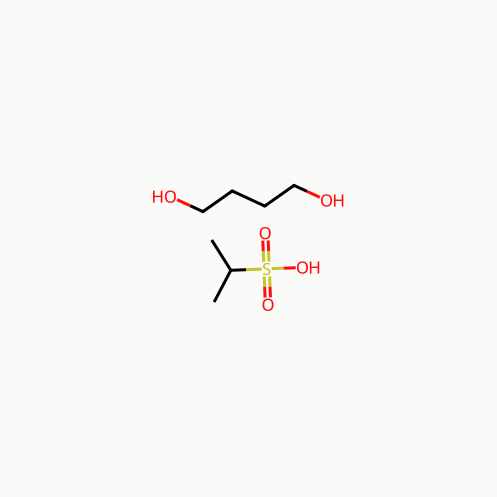 CC(C)S(=O)(=O)O.OCCCCO